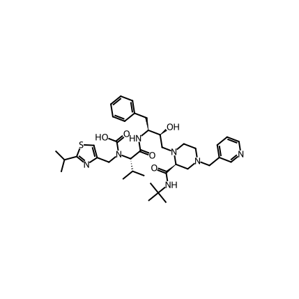 CC(C)c1nc(CN(C(=O)O)[C@H](C(=O)N[C@@H](Cc2ccccc2)[C@@H](O)CN2CCN(Cc3cccnc3)C[C@H]2C(=O)NC(C)(C)C)C(C)C)cs1